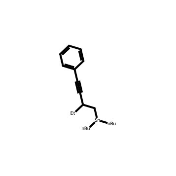 CCC[CH2][Sn]([CH2]CCC)[CH2]C(C#Cc1ccccc1)CC